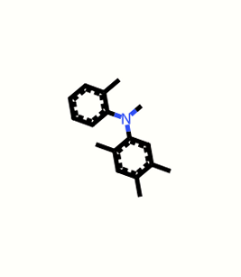 Cc1cc(C)c(N(C)c2ccccc2C)cc1C